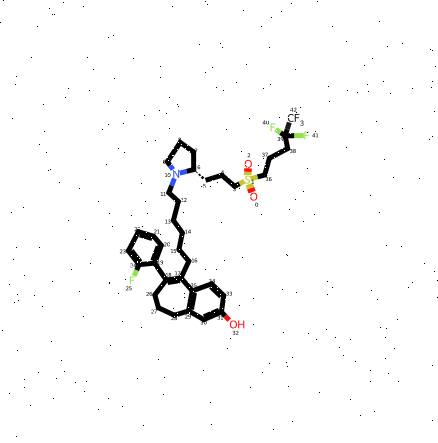 O=S(=O)(CCC[C@H]1CCCN1CCCCCCC1=C(c2ccccc2F)CCCc2cc(O)ccc21)CCCC(F)(F)C(F)(F)F